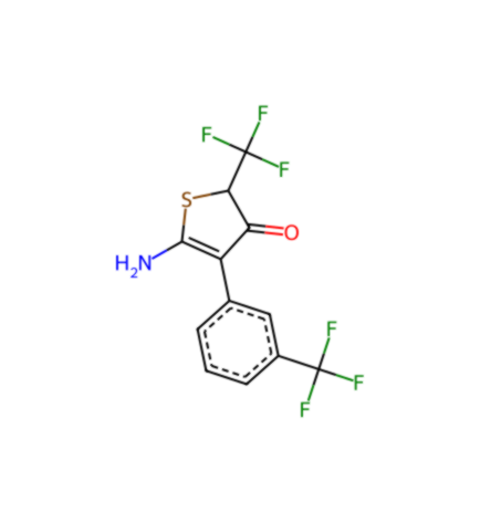 NC1=C(c2cccc(C(F)(F)F)c2)C(=O)C(C(F)(F)F)S1